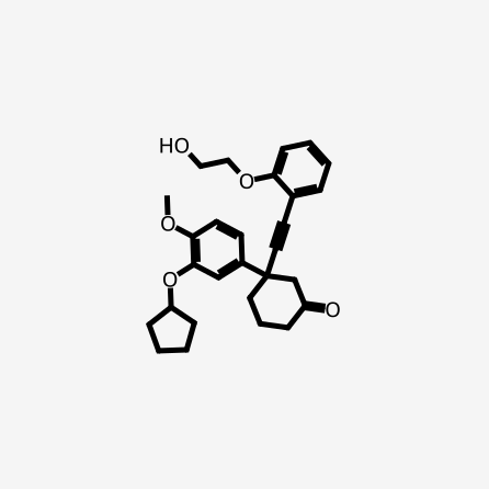 COc1ccc(C2(C#Cc3ccccc3OCCO)CCCC(=O)C2)cc1OC1CCCC1